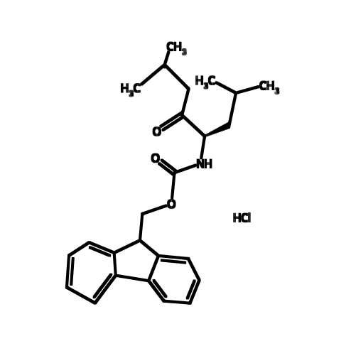 C[C](C)CC(=O)[C@@H](CC(C)C)NC(=O)OCC1c2ccccc2-c2ccccc21.Cl